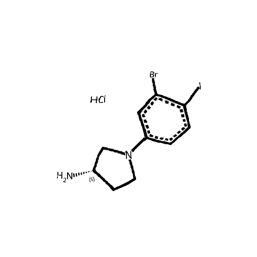 Cl.N[C@H]1CCN(c2ccc(I)c(Br)c2)C1